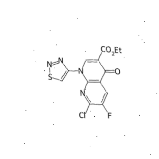 CCOC(=O)c1cn(-c2csnn2)c2nc(Cl)c(F)cc2c1=O